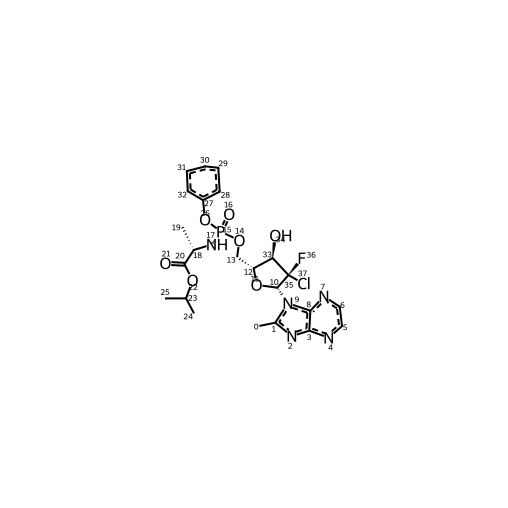 Cc1nc2nccnc2n1[C@@H]1O[C@H](CO[P@@](=O)(N[C@@H](C)C(=O)OC(C)C)Oc2ccccc2)[C@@H](O)[C@]1(F)Cl